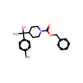 Bc1ccc(C(C)(O)C2CCN(C(=O)OCc3ccccc3)CC2)cc1